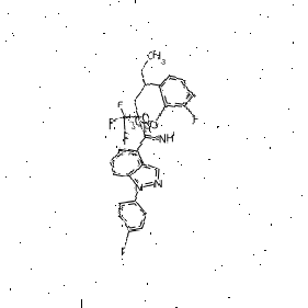 CCC(CC(O)(C(=N)c1cccc2c1cnn2-c1ccc(F)cc1)C(F)(F)F)c1cccc(F)c1OC